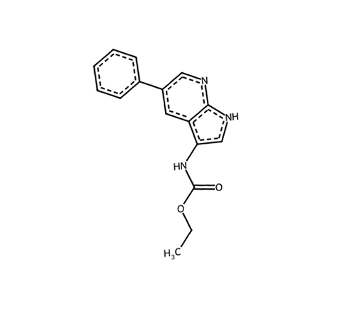 CCOC(=O)Nc1c[nH]c2ncc(-c3ccccc3)cc12